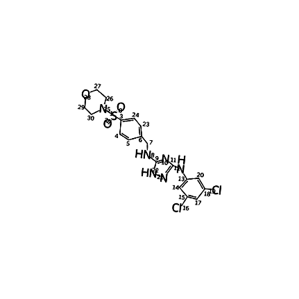 O=S(=O)(c1ccc(CNc2nc(Nc3cc(Cl)cc(Cl)c3)n[nH]2)cc1)N1CCOCC1